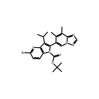 Cc1c(-c2c(C(C)C)c3nc(Br)ccc3n2C(=O)OC(C)(C)C)cn2ncnc2c1C